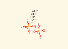 O=P([O-])([O-])[O-].O=P([O-])([O-])[O-].[Fe+3].[H+].[H+].[H+]